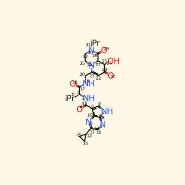 CC(C)[C@H](NC(=O)c1c[nH]c2ncc(C3CC3)nc12)C(=O)NCC1=CC(=O)C(O)C2C(=O)N(C(C)C)CCN12